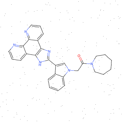 O=C(Cn1cc(-c2nc3c4cccnc4c4ncccc4c3[nH]2)c2ccccc21)N1CCCCCC1